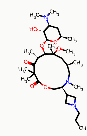 CCCN1CC([C@H]2COC(=O)C(C)(C)C(=O)[C@H](C)[C@@H](O[C@@H]3O[C@H](C)C[C@H](N(C)C)[C@H]3O)[C@](C)(OC)C[C@@H](C)CN2C)C1